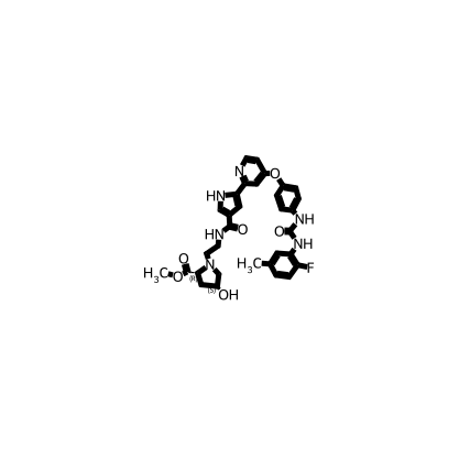 COC(=O)[C@H]1C[C@H](O)CN1CCNC(=O)c1c[nH]c(-c2cc(Oc3ccc(NC(=O)Nc4cc(C)ccc4F)cc3)ccn2)c1